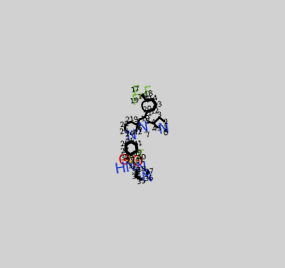 CN1CCC(CN(C)C2(CCc3cccc(C(F)(F)F)c3)CCCN(c3ccc(S(=O)(=O)Nc4ccncn4)c(F)c3)C2)C1